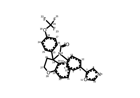 O=CN(c1ccc(-c2cnco2)cc1)C1(c2ccc(OC(F)(F)F)cc2)CCOc2cccnc21